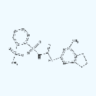 Cc1nc(NC(=O)NS(=O)(=O)c2cccnc2S(C)(=O)=O)nc2c1CCC2